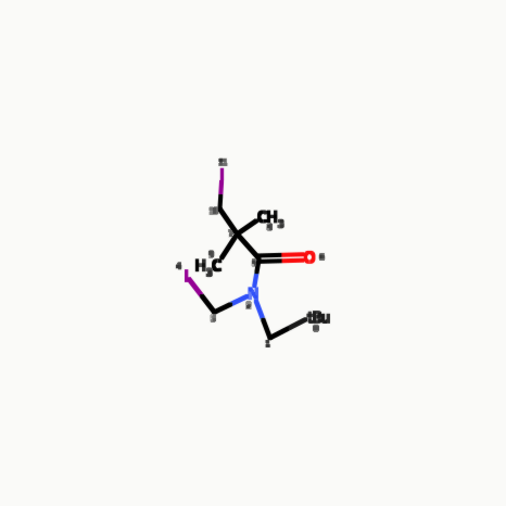 CC(C)(C)CN(CI)C(=O)C(C)(C)CI